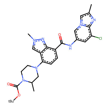 Cc1cn2cc(NC(=O)c3ccc(N4CCN(C(=O)OC(C)(C)C)C(C)C4)c4cn(C)nc34)cc(Cl)c2n1